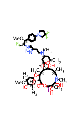 CO[C@H](c1ccc(N2CCC(F)(F)C2)cc1)[C@@H](CF)n1cc(CCN(C)[C@@H]2C[C@H](O[C@@H]3[C@@H](C)[C@H](O[C@H]4C[C@@](C)(OC)[C@@H](O)[C@H](C)O4)[C@@H](C)C(=O)O[C@H](I)[C@@](C)(O)[C@H](O)N(C)C[C@H](C)C[C@@]3(C)O)O[C@H](C)C2)nn1